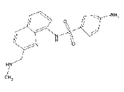 CNCc1ccc2cccc(NS(=O)(=O)c3ccc(N)cc3)c2n1